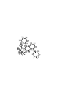 Cc1nc2c(N3CCOCC3)cccc2c(-c2ccccc2)c1C(=O)C(F)(F)F